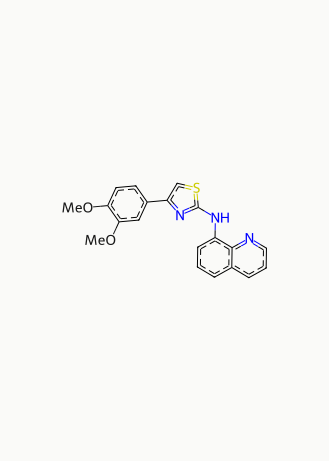 COc1ccc(-c2csc(Nc3cccc4cccnc34)n2)cc1OC